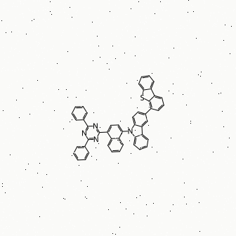 c1ccc(-c2nc(-c3ccccc3)nc(-c3ccc(-n4c5ccccc5c5cc(-c6cccc7c6sc6ccccc67)ccc54)c4ccccc34)n2)cc1